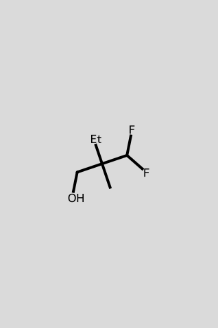 CCC(C)(CO)C(F)F